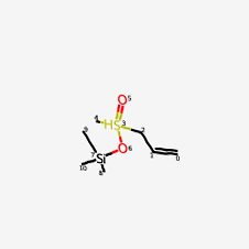 C=CC[SH](C)(=O)O[Si](C)(C)C